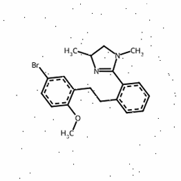 COc1ccc(Br)cc1CCc1ccccc1C1=NC(C)CN1C